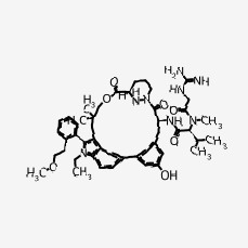 CCn1c(-c2ccccc2CCOC)c2c3cc(ccc31)-c1cc(O)cc(c1)C[C@H](NC(=O)[C@H](C(C)C)N(C)C(=O)CNC(=N)N)C(=O)N1CCC[C@H](N1)C(=O)OCC(C)(C)C2